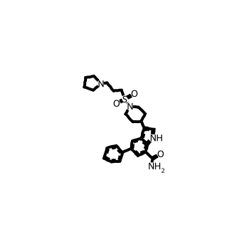 NC(=O)c1cc(-c2ccccc2)cc2c(C3CCN(S(=O)(=O)CCCN4CCCC4)CC3)c[nH]c12